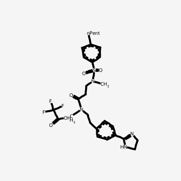 CCCCCc1ccc(S(=O)(=O)N(C)CCC(=O)N(C)CCc2ccc(C3=NCCN3)cc2)cc1.O=C(O)C(F)(F)F